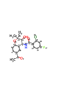 CC(=O)c1ccc2c(c1)[C@H](NC(=O)c1ccc(F)cc1Cl)C(O)C(C)(C)O2